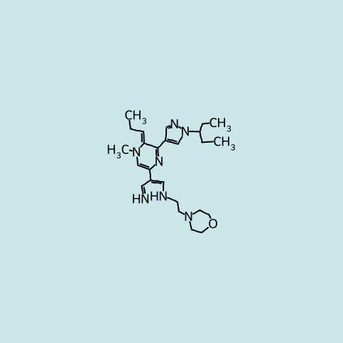 CC/C=C1/C(c2cnn(C(CC)CC)c2)=NC(/C(C=N)=C/NCCN2CCOCC2)=CN1C